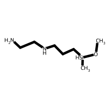 CO[SiH](C)CCCNCCN